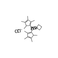 CC1=C(C)C(C)[C]([Zr+2]([C]2=C(C)C(C)=C(C)C2C)[SiH]2CCC2)=C1C.[Cl-].[Cl-]